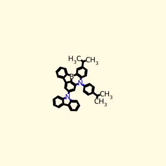 CC(C)c1ccc(N2c3ccc(C(C)C)cc3B3c4ccccc4-c4cc(-n5c6ccccc6c6ccccc65)cc2c43)cc1